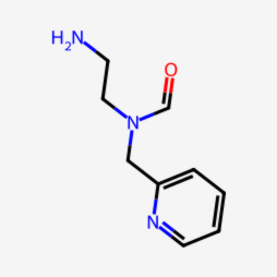 NCCN(C=O)Cc1ccccn1